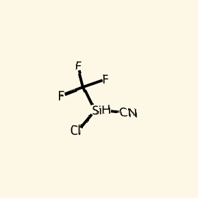 N#C[SiH](Cl)C(F)(F)F